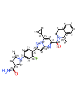 C[C@@H]1c2ccccc2CCN1C(=O)c1cc(C2CC2)n2nc(-c3ccc(N4CC(C(N)=O)C[C@H]4C)cc3F)cc2n1